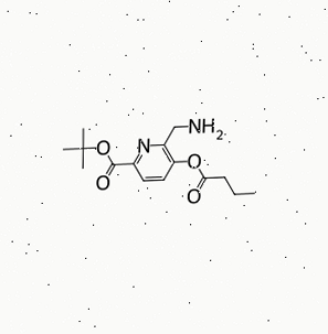 CCCC(=O)Oc1ccc(C(=O)OC(C)(C)C)nc1CN